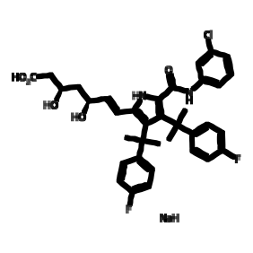 CC(C)(c1ccc(F)cc1)c1c(/C=C/[C@@H](O)C[C@@H](O)CC(=O)O)[nH]c(C(=O)Nc2cccc(Cl)c2)c1C(C)(C)c1ccc(F)cc1.[NaH]